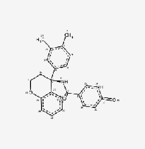 Cc1ccc([C@@]2(NC(=O)c3ccc(=O)[nH]c3)CCOc3cccnc32)cc1C